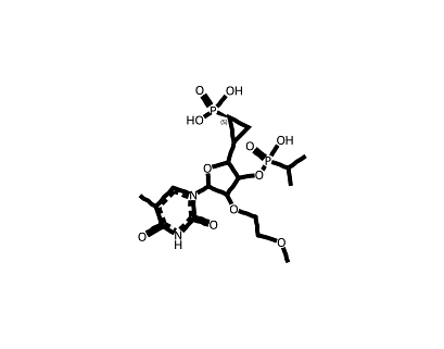 COCCOC1C(OP(=O)(O)C(C)C)C(C2C[C@@H]2P(=O)(O)O)OC1n1cc(C)c(=O)[nH]c1=O